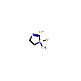 CCCC[N+]1(C)C=NCC1.[Br-]